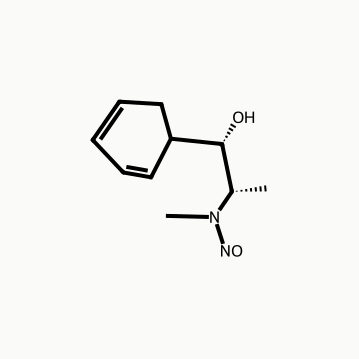 C[C@@H]([C@@H](O)C1C=CC=CC1)N(C)N=O